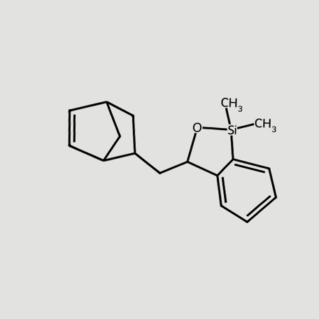 C[Si]1(C)OC(CC2CC3C=CC2C3)c2ccccc21